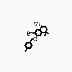 Cc1ccc(COc2cc3c(cc2Br)C(C(C)C)=CCC3(C)C)cc1